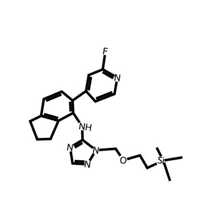 C[Si](C)(C)CCOCn1ncnc1Nc1c(-c2ccnc(F)c2)ccc2c1CCC2